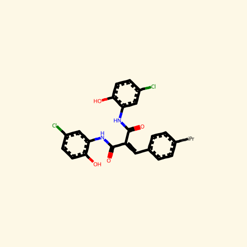 CC(C)c1ccc(C=C(C(=O)Nc2cc(Cl)ccc2O)C(=O)Nc2cc(Cl)ccc2O)cc1